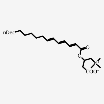 CCCCCCCCCCCCCCCC=CC=CC=CC(=O)OC(CC(=O)[O-])C[N+](C)(C)C